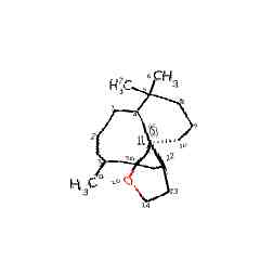 CC1CCC2C(C)(C)CCC[C@@]23C2CCOC123